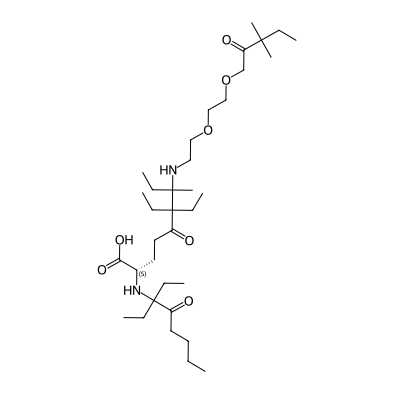 CCCCC(=O)C(CC)(CC)N[C@@H](CCC(=O)C(CC)(CC)C(C)(CC)NCCOCCOCC(=O)C(C)(C)CC)C(=O)O